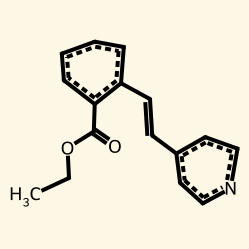 CCOC(=O)c1ccccc1C=Cc1ccncc1